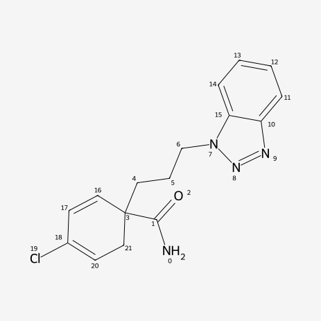 NC(=O)C1(CCCn2nnc3ccccc32)C=CC(Cl)=CC1